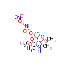 COC(=O)C1=C(C)NC(C)=C(C(=O)OC)C1c1cccc(OCC(=O)NCCO[N+](=O)[O-])c1